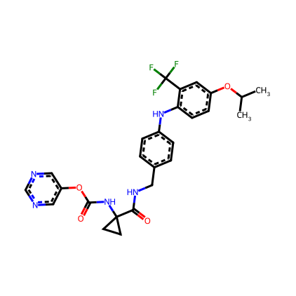 CC(C)Oc1ccc(Nc2ccc(CNC(=O)C3(NC(=O)Oc4cncnc4)CC3)cc2)c(C(F)(F)F)c1